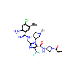 C=CC(=O)N1CC(NC(=O)c2c(C(F)F)nc(CNC(=N)c3cc(C(C)(C)C)c(Cl)cc3N)n2C2CCN(CC)C2)C1